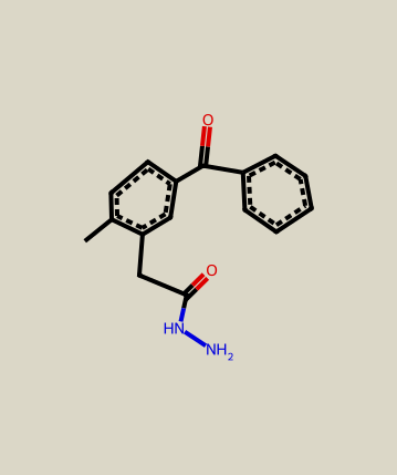 Cc1ccc(C(=O)c2ccccc2)cc1CC(=O)NN